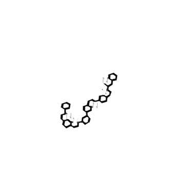 c1ccc(-c2ccc3ccc4ccc(-c5cccc(-c6ccc7ccc(-c8ccc9ccc(-c%10cnc%11ccccc%11c%10)nc9c8)nc7c6)c5)nc4c3n2)cc1